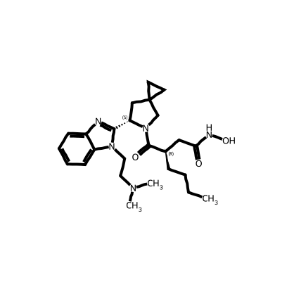 CCCC[C@H](CC(=O)NO)C(=O)N1CC2(CC2)C[C@H]1c1nc2ccccc2n1CCN(C)C